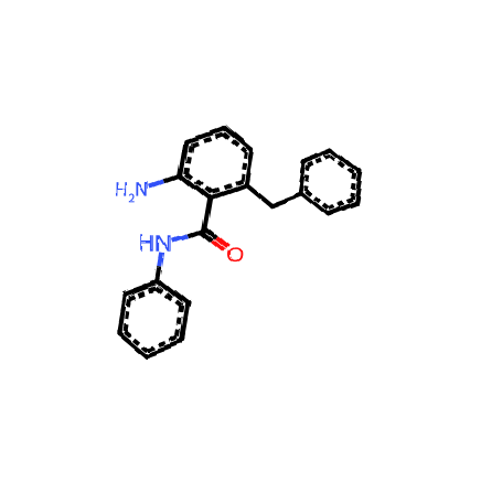 Nc1cccc(Cc2ccccc2)c1C(=O)Nc1ccccc1